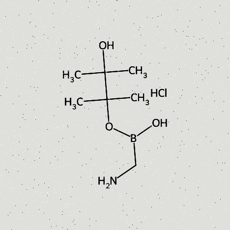 CC(C)(O)C(C)(C)OB(O)CN.Cl